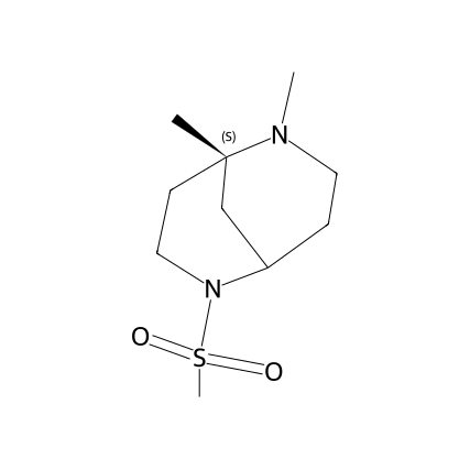 CN1CCC2C[C@]1(C)CCN2S(C)(=O)=O